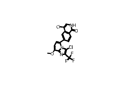 COc1ccc(-c2ccc3c(=O)[nH]cc(Cl)c3c2)n2c(Cl)c(C(F)(F)F)nc12